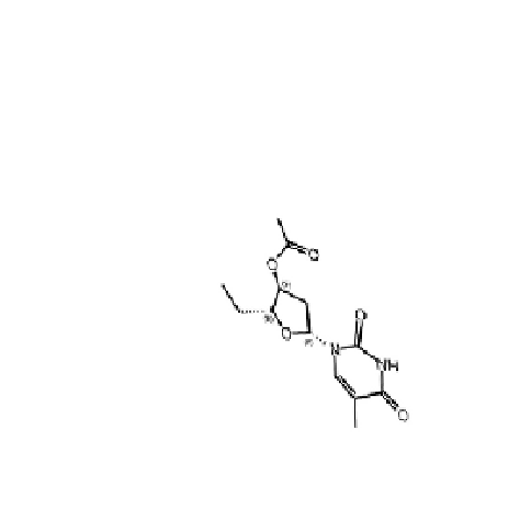 CC[C@H]1O[C@@H](n2cc(C)c(=O)[nH]c2=O)C[C@@H]1OC(C)=O